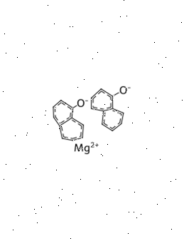 [Mg+2].[O-]c1cccc2ccccc12.[O-]c1cccc2ccccc12